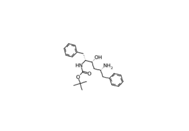 CC(C)(C)OC(=O)N[C@H](Cc1ccccc1)[C@H](O)C[C@H](N)Cc1ccccc1